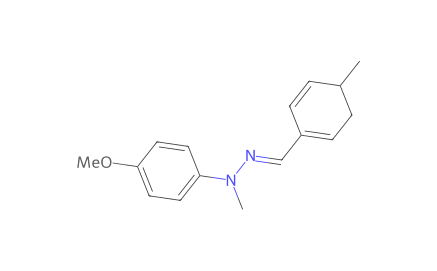 COc1ccc(N(C)N=CC2=CCC(C)C=C2)cc1